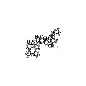 Cc1cc2c(cc1-c1c(C)ccc3c1oc1nc4ccccc4n13)C(C)(C)c1ccc(C)c(-c3ccc4c(c3)-c3ccccc3-c3ncccc3-c3ccccc3-4)c1S2